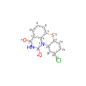 O=c1[nH]c(=O)n2c3c(cccc13)Sc1ccc(Cl)cc1-2